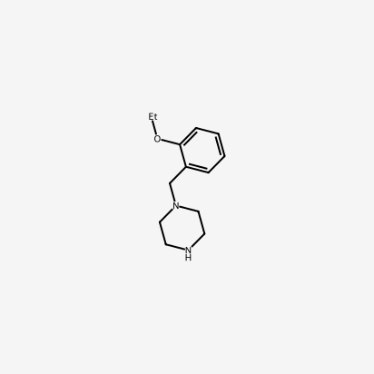 CCOc1ccccc1CN1CCNCC1